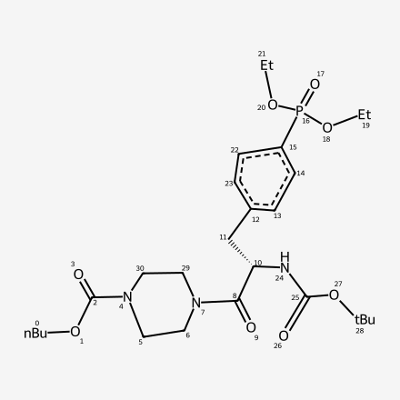 CCCCOC(=O)N1CCN(C(=O)[C@H](Cc2ccc(P(=O)(OCC)OCC)cc2)NC(=O)OC(C)(C)C)CC1